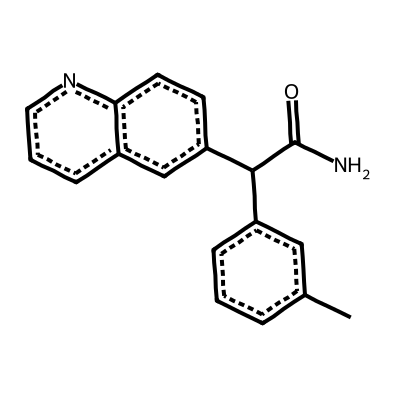 Cc1cccc(C(C(N)=O)c2ccc3ncccc3c2)c1